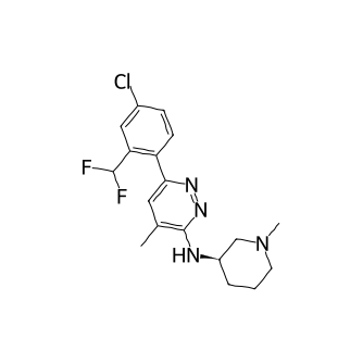 Cc1cc(-c2ccc(Cl)cc2C(F)F)nnc1N[C@@H]1CCCN(C)C1